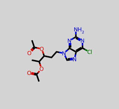 CC(=O)OC(C)C(CCn1cnc2c(Cl)nc(N)nc21)OC(C)=O